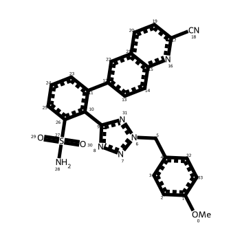 COc1ccc(Cn2nnc(-c3c(-c4ccc5nc(C#N)ccc5c4)cccc3S(N)(=O)=O)n2)cc1